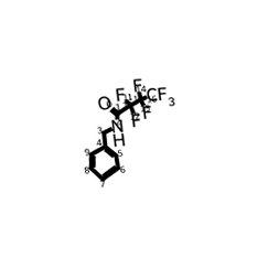 O=C(NCc1ccccc1)C(F)(F)C(F)(F)C(F)(F)F